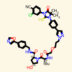 CC(C)(C)[C@H](NC(=O)COCCCn1cc(-c2ccc(N3C(S)N(c4ccc(C#N)c(Cl)c4)C(=O)C3(C)C)cc2)cn1)C(=O)N1C[C@H](O)C[C@H]1C(=O)NCc1ccc(-c2cnco2)cc1